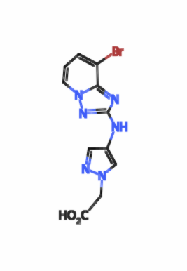 O=C(O)Cn1cc(Nc2nc3c(Br)cccn3n2)cn1